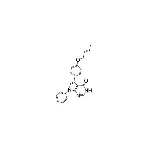 C/C=C/COc1ccc(-c2cn(-c3ccccc3)c3nc[nH]c(=O)c23)cc1